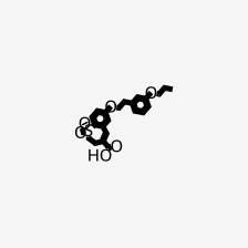 CCCOc1cccc(CCOc2ccc3c(c2)C=C(C(=O)O)CCS3(=O)=O)c1